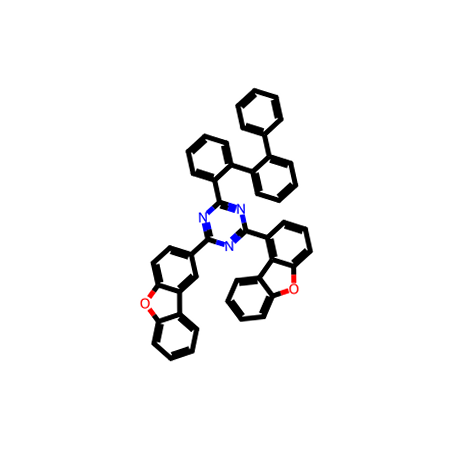 c1ccc(-c2ccccc2-c2ccccc2-c2nc(-c3ccc4oc5ccccc5c4c3)nc(-c3cccc4oc5ccccc5c34)n2)cc1